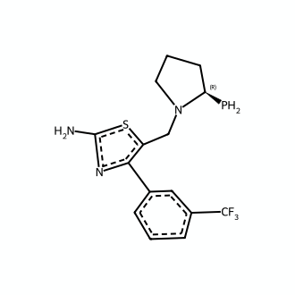 Nc1nc(-c2cccc(C(F)(F)F)c2)c(CN2CCC[C@H]2P)s1